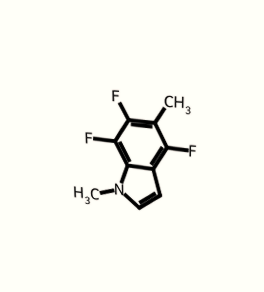 Cc1c(F)c(F)c2c(ccn2C)c1F